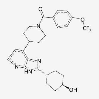 O=C(c1ccc(OC(F)(F)F)cc1)N1CCC(c2ccnc3[nH]c([C@H]4CC[C@H](O)CC4)nc23)CC1